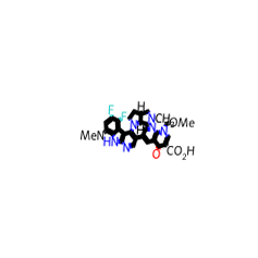 CNc1cc(F)c(F)c2c1[nH]c1ncc(-c3cnc4c(c3)c(=O)c(C(=O)O)cn4COC)c(N3CC[C@@H]4CN(C)C[C@@H]43)c12